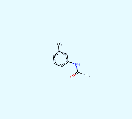 O=C(Nc1c[c]cc(C(F)(F)F)c1)C(F)(F)F